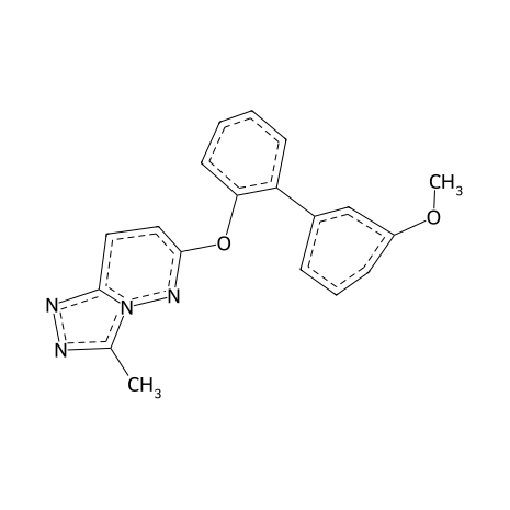 COc1cccc(-c2ccccc2Oc2ccc3nnc(C)n3n2)c1